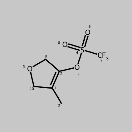 CC1=C(OS(=O)(=O)C(F)(F)F)COC1